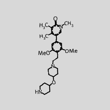 COc1cc(-c2cn(C)c(=O)c(C)c2C)cc(OC)c1CCN1CCC(OC2CCNCC2)CC1